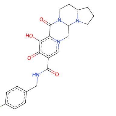 O=C(NCc1ccc(F)cc1)c1cn2c(c(O)c1=O)C(=O)N1CCC3CCCN3C1C2